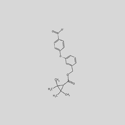 CC1(C)C(C(=O)OCc2cccc(Oc3ccc([N+](=O)[O-])cc3)c2)C1(C)C